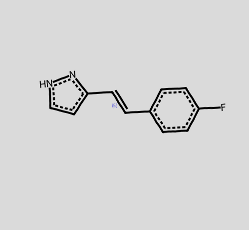 Fc1ccc(/C=C/c2cc[nH]n2)cc1